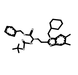 Cc1cc2nc(CC[C@@H](NC(=O)OC(C)(C)C)C(=O)OCc3ccccc3)n(CC3CCCCC3)c2cc1C